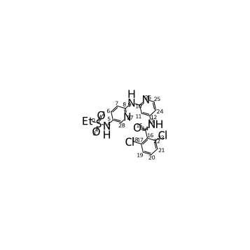 CCS(=O)(=O)Nc1ccc(Nc2cc(NC(=O)c3c(Cl)cccc3Cl)ccn2)nc1